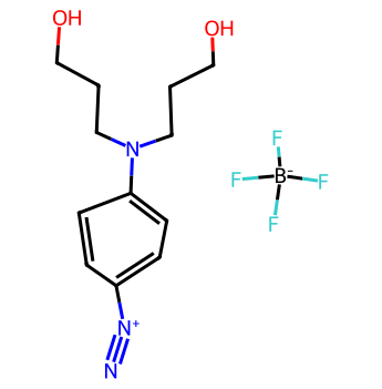 F[B-](F)(F)F.N#[N+]c1ccc(N(CCCO)CCCO)cc1